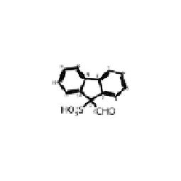 O=CC1(S(=O)(=O)O)c2ccccc2-c2ccccc21